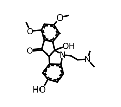 COc1cc(OC)c2c(c1)C1(O)C(C2=O)c2cc(O)ccc2N1CCN(C)C